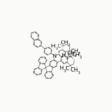 CC1(C)CCC(C)(C)c2cc(-c3cc4c(cc3N(c3ccc(-c5ccc6ccccc6c5)cc3)c3ccc5c(c3)C(C)(C)CCC5(C)C)C3(c5ccccc5-c5ccccc53)c3ccccc3-4)ccc21